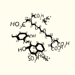 Cc1ccc(O)c(/N=N/c2c(O)cc(S(=O)(=O)O)c3ccccc23)c1.O=C(O)CN(CCOCCOCCN(CC(=O)O)CC(=O)O)CC(=O)O.[C-]#N.[Cl-].[K+].[K+].[K+].[OH-]